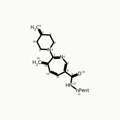 C=C1CCN(C2=NC=C(C(=O)NCCCCC)C=CC2=C)CC1